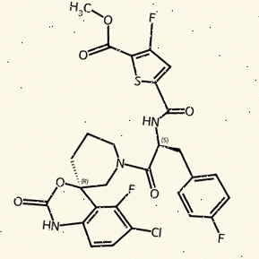 COC(=O)c1sc(C(=O)N[C@@H](Cc2ccc(F)cc2)C(=O)N2CCC[C@@]3(C2)OC(=O)Nc2ccc(Cl)c(F)c23)cc1F